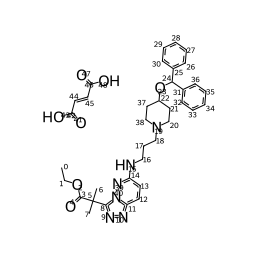 CCOC(=O)C(C)(C)c1nnc2ccc(NCCCN3CCC(OC(c4ccccc4)c4ccccc4)CC3)nn12.O=C(O)/C=C/C(=O)O